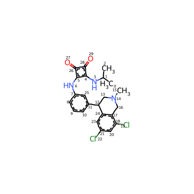 CC(C)Nc1c(Nc2cccc(C3CN(C)Cc4c(Cl)cc(Cl)cc43)c2)c(=O)c1=O